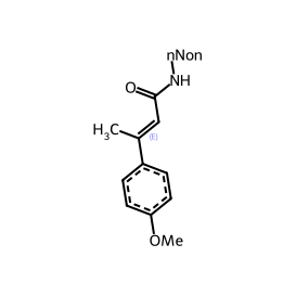 CCCCCCCCCNC(=O)/C=C(\C)c1ccc(OC)cc1